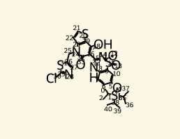 CC(C)[Si](Oc1ccc2c(c1)S(=O)(=O)N=C(c1c(O)c3sccc3n(Cc3cnc(Cl)s3)c1=O)N2)(C(C)C)C(C)C